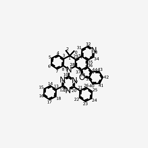 CC1(C)c2ccccc2N(c2nc(-c3ccccc3)nc(-c3ccccc3)n2)c2c1c1ccncc1c1c2oc2ccccc21